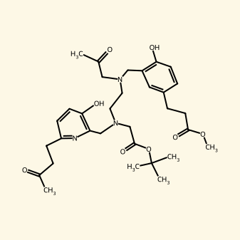 COC(=O)CCc1ccc(O)c(CN(CCN(CC(=O)OC(C)(C)C)Cc2nc(CCC(C)=O)ccc2O)CC(C)=O)c1